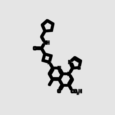 Cc1cc(N2CC(C(=O)NCC3CCCC3)C2)nc2c1c(=O)c(C(=O)O)cn2-c1nccs1